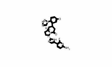 Nc1ccc(-c2cnc([C@@H]3CC[C@@H]4CC(c5cc(Cl)ccc5-n5cnnn5)CC(=O)N43)[nH]2)c(F)n1